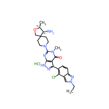 CCn1cc2c(Cl)c(-c3n[nH]c4nc(N5CCC6(CC5)CO[C@@H](C)[C@H]6N)n(C)c(=O)c34)ccc2n1.Cl